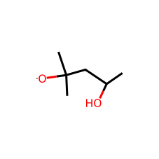 CC(O)CC(C)(C)[O]